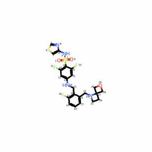 O=S(=O)(Nc1cscn1)c1c(F)cc(NCc2c(F)cccc2CN2CCC23COC3)cc1F